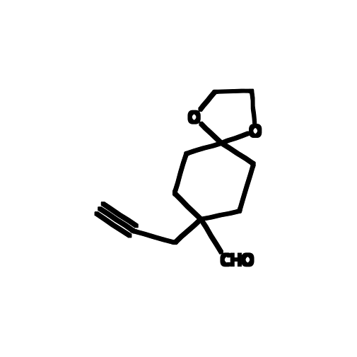 C#CCC1(C=O)CCC2(CC1)OCCO2